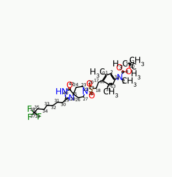 Cc1cc(N(C)C(=O)OC(C)(C)C)cc(C)c1CCS(=O)(=O)N1CCC2(CC1)N=C(CCCCCCC(F)(F)F)NC2=O